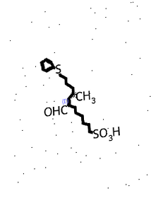 C[C@H](/C=C(/C=O)CCCCCCS(=O)(=O)O)CCCCSc1ccccc1